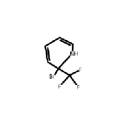 FC(F)(F)C1(Br)C=CC=CN1